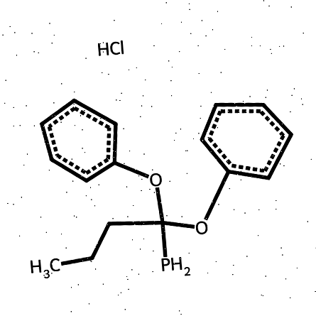 CCCC(P)(Oc1ccccc1)Oc1ccccc1.Cl